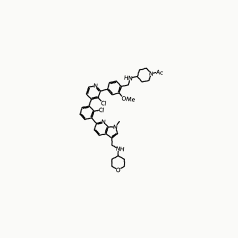 COc1cc(-c2nccc(-c3cccc(-c4ccc5c(CNC6CCOCC6)cn(C)c5n4)c3Cl)c2Cl)ccc1CNC1CCN(C(C)=O)CC1